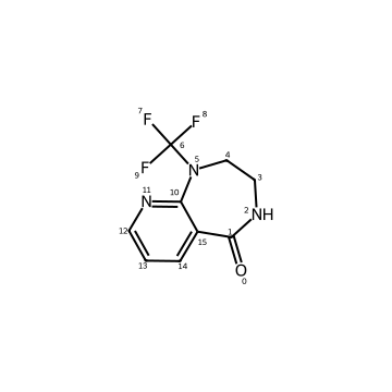 O=C1NCCN(C(F)(F)F)c2ncccc21